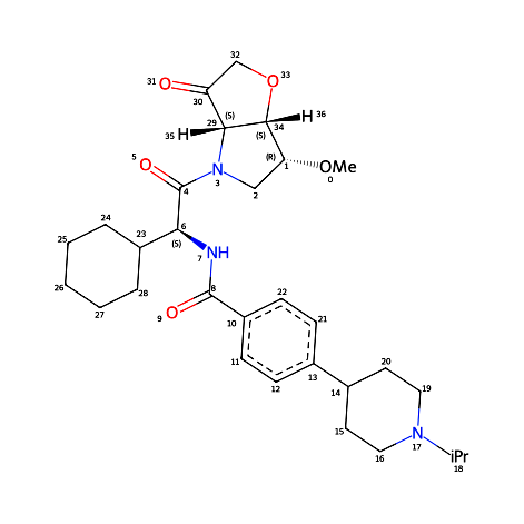 CO[C@@H]1CN(C(=O)[C@@H](NC(=O)c2ccc(C3CCN(C(C)C)CC3)cc2)C2CCCCC2)[C@@H]2C(=O)CO[C@@H]21